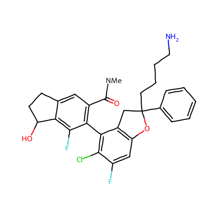 CNC(=O)c1cc2c(c(F)c1-c1c(Cl)c(F)cc3c1CC(CCCCN)(c1ccccc1)O3)C(O)CC2